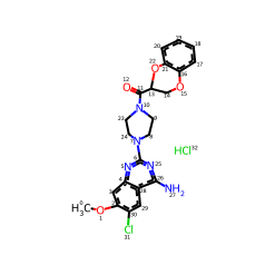 COc1cc2nc(N3CCN(C(=O)C4COc5ccccc5O4)CC3)nc(N)c2cc1Cl.Cl